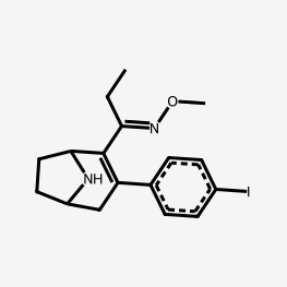 CCC(=NOC)C1=C(c2ccc(I)cc2)CC2CCC1N2